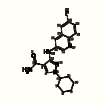 NC(=O)c1cn(C2CCCCC2)nc1Nc1cnc2ccc(F)cc2c1